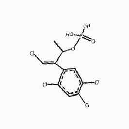 CC(OP(=O)(O)O)C(=CCl)c1cc(Cl)c(Cl)cc1Cl